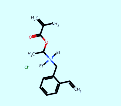 C=Cc1ccccc1C[N+](CC)(CC)C(C)OC(=O)C(=C)C.[Cl-]